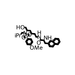 COc1ccc(S(=O)(=O)N(CC(C)C)C(CO)CCCCNC(=O)C(N)Cc2ccc3ccccc3c2)cc1